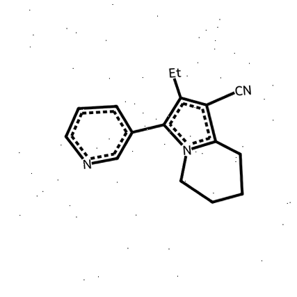 CCc1c(C#N)c2n(c1-c1cccnc1)CCCC2